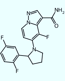 NC(=O)c1cnn2ccc(N3CCCC3c3cc(F)ccc3F)c(F)c12